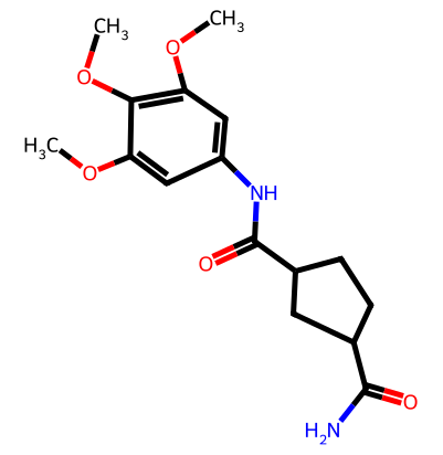 COc1cc(NC(=O)C2CCC(C(N)=O)C2)cc(OC)c1OC